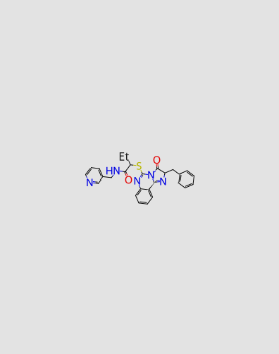 CCC(SC1=Nc2ccccc2C2=NC(Cc3ccccc3)C(=O)N12)C(=O)NCc1cccnc1